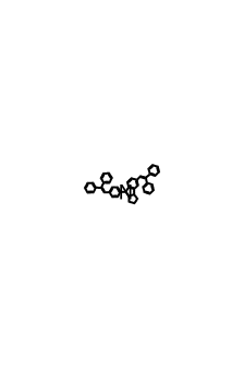 C(=C(c1ccccc1)c1ccccc1)c1ccc(N2c3ccc(C=C(c4ccccc4)c4ccccc4)cc3C3CCCC32)cc1